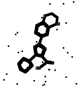 O=C(O)c1nc(-c2ccc3c(c2)NCCO3)sc1-c1ccccc1